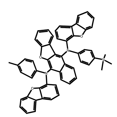 Cc1ccc(N(c2cccc3c2oc2ccccc23)c2c3ccccc3c(N(c3ccc([Si](C)(C)C)cc3)c3cccc4c3oc3ccccc34)c3c2oc2ccccc23)cc1